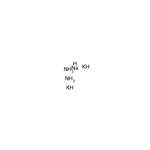 N.N.[KH].[KH].[NaH]